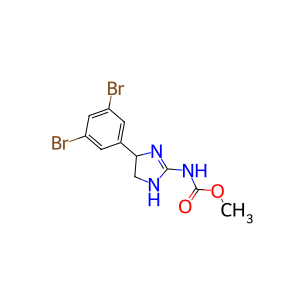 COC(=O)NC1=NC(c2cc(Br)cc(Br)c2)CN1